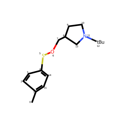 Cc1ccc(SOCC2CCN(C(C)(C)C)C2)cc1